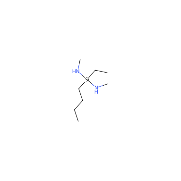 CCCC[Si](CC)(NC)NC